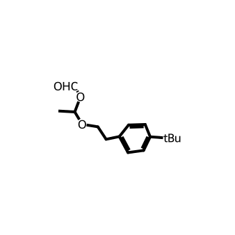 CC(OC=O)OCCc1ccc(C(C)(C)C)cc1